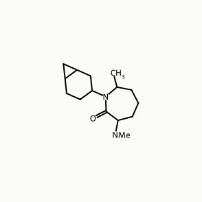 CNC1CCCC(C)N(C2CCC3CC3C2)C1=O